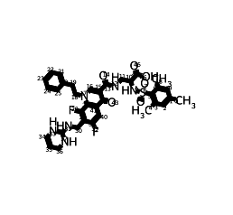 Cc1cc(C)c(S(=O)(=O)NC(CNC(=O)c2cn(CCc3ccccc3)c3c(F)c(CNC4NC=CCN4)c(F)cc3c2=O)C(=O)O)c(C)c1